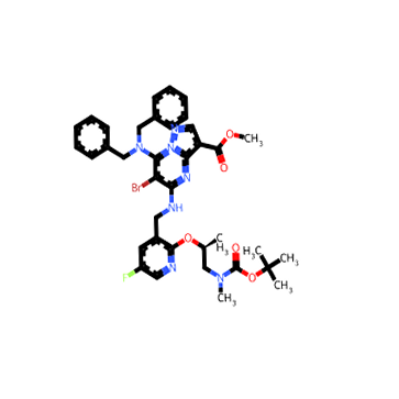 COC(=O)c1cnn2c(N(Cc3ccccc3)Cc3ccccc3)c(Br)c(NCc3cc(F)cnc3O[C@@H](C)CN(C)C(=O)OC(C)(C)C)nc12